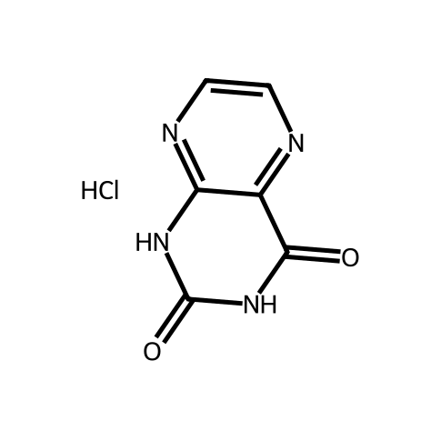 Cl.O=c1[nH]c(=O)c2nccnc2[nH]1